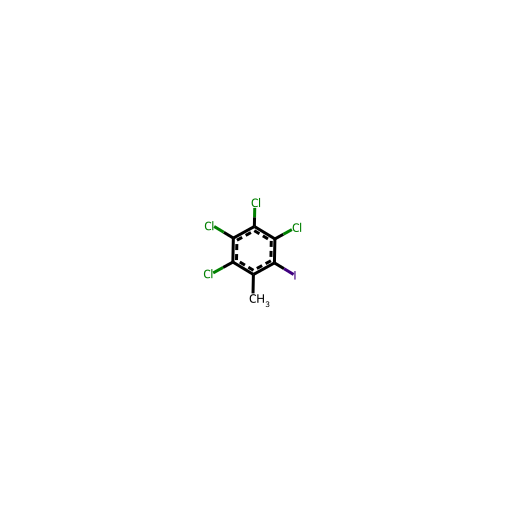 Cc1c(Cl)c(Cl)c(Cl)c(Cl)c1I